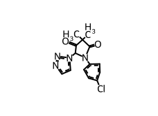 CC1(C)C(=O)C(n2ccnn2)N(c2ccc(Cl)cc2)C1=O